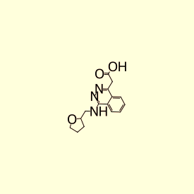 O=C(O)Cc1nnc(NCC2CCCO2)c2ccccc12